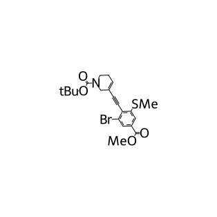 COC(=O)c1cc(Br)c(C#CC2=CCCN(C(=O)OC(C)(C)C)C2)c(SC)c1